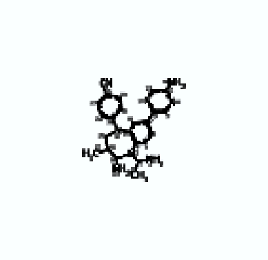 CC(N)N1c2ccc(-c3cnc(N)cn3)cc2N(c2ccc(C#N)cc2)C[C@H](C)C1N